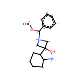 NC1CCCCC1C1(O)CN(C(OC=O)c2ccccc2)C1